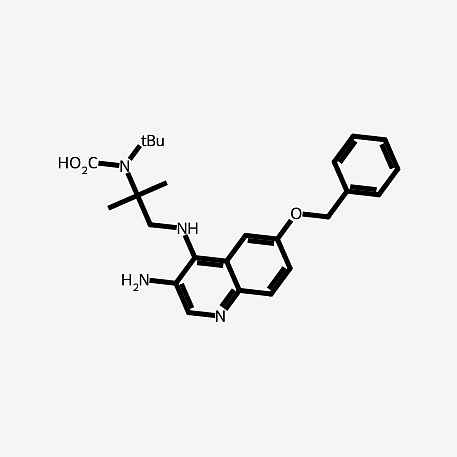 CC(C)(C)N(C(=O)O)C(C)(C)CNc1c(N)cnc2ccc(OCc3ccccc3)cc12